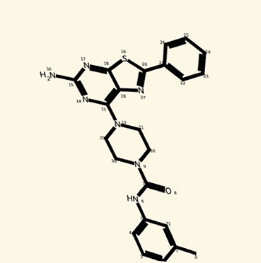 Cc1cccc(NC(=O)N2CCN(c3nc(N)nc4sc(-c5ccccc5)nc34)CC2)c1